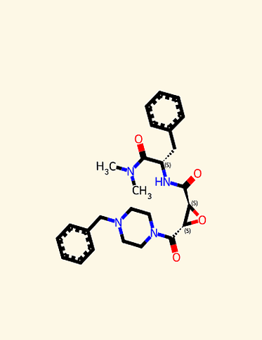 CN(C)C(=O)[C@H](Cc1ccccc1)NC(=O)[C@H]1O[C@@H]1C(=O)N1CCN(Cc2ccccc2)CC1